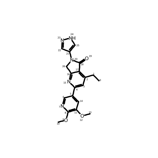 CCc1cc(-c2cnc(OC)c(OC)c2)nc2c1C(=O)N(c1cn[nH]c1)C2